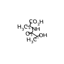 CC(O)C(=O)NC(C)C(=O)O